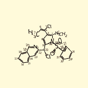 C=Nc1c(/C(Cl)=C\C)cc(C(Cl)c2cc3ccccc3cn2)n1S(=O)(=O)c1ccccc1